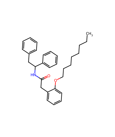 CCCCCCCCOc1ccccc1CC(=O)NC(Cc1ccccc1)c1ccccc1